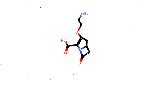 NCCOC1=C(C(=O)O)N2C(=O)CC2C1